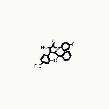 O=C1C(O)=C(c2ccc(C(F)(F)F)cc2)C([C@H](O)c2ccccc2)N1c1ccc(F)cc1